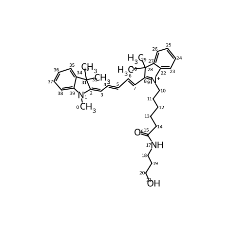 CN1/C(=C/C=C/C=C/C2=[N+](CCCCCC(=O)NCCCO)c3ccccc3C2(C)C)C(C)(C)c2ccccc21